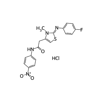 Cl.Cn1c(CC(=O)Nc2ccc([N+](=O)[O-])cc2)csc1=Nc1ccc(F)cc1